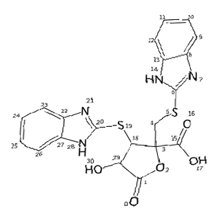 O=C1OC(CSc2nc3ccccc3[nH]2)(C(=O)O)C(Sc2nc3ccccc3[nH]2)C1O